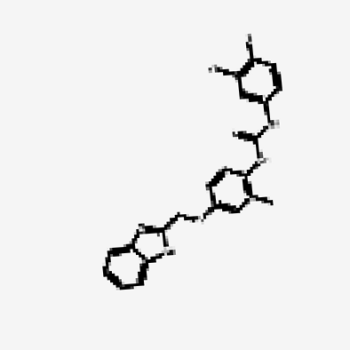 Cc1cc(OCc2nc3ccccc3[nH]2)ccc1NC(=S)Nc1ccc(Cl)c(Cl)c1